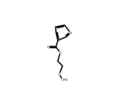 O=COCCOC(=O)c1cccnc1